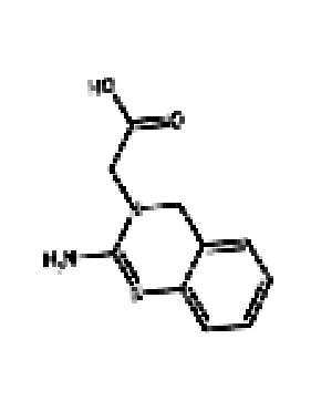 NC1=Nc2ccccc2CN1CC(=O)O